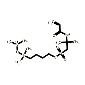 C=CC(=O)NC(C)(C)CS(=O)(=O)OCCCC[Si](C)(C)O[SiH](C)C